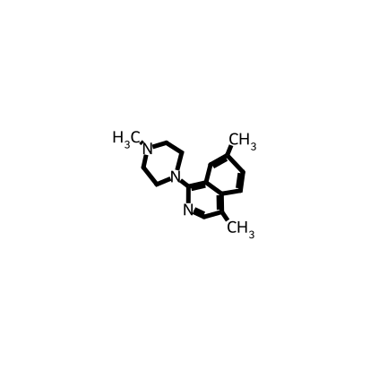 Cc1ccc2c(C)cnc(N3CCN(C)CC3)c2c1